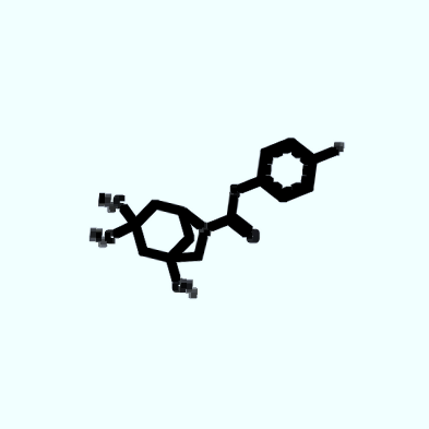 CC1(C)CC2CC(C)(CN2C(=O)Sc2ccc(F)cc2)C1